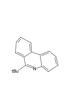 CC(C)(C)c1nc2ccccc2c2ccccc12